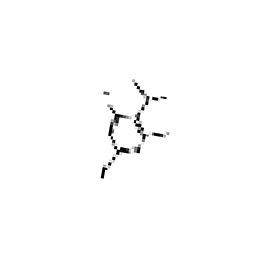 Cc1cc(I)cc(F)c1C(C)C